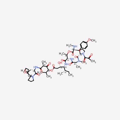 CC[C@H](C)[C@@H](NC(=O)[C@@H](NC(=O)[C@@H](C)N(C)C(=O)[C@@H]1CCCN1C(=O)C(C)=O)[C@@H](C)OC(=O)[C@H](Cc1ccc(OC)cc1)NC)[C@@H](O)CC(=O)O[C@H](C(=O)[C@H](C)C(=O)N[C@@H](CC(C)C)C(=O)N1CCC[C@H]1C1CCO1)C(C)C